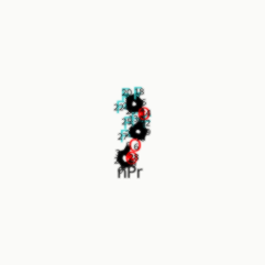 CCCC1CCC(COc2ccc(C(F)(F)Oc3cc(F)c(F)c(F)c3)c(F)c2F)OC1